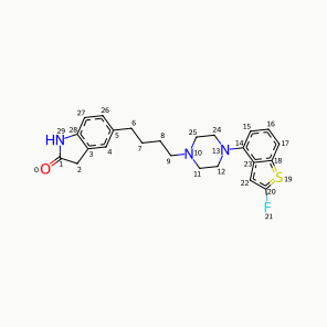 O=C1Cc2cc(CCCCN3CCN(c4cccc5sc(F)cc45)CC3)ccc2N1